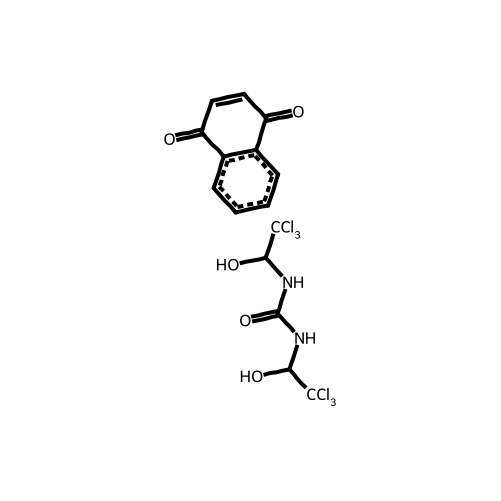 O=C(NC(O)C(Cl)(Cl)Cl)NC(O)C(Cl)(Cl)Cl.O=C1C=CC(=O)c2ccccc21